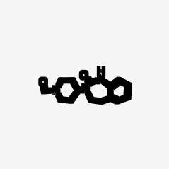 O=CN1CCC(N2CCc3ccccc3NC2=O)CC1